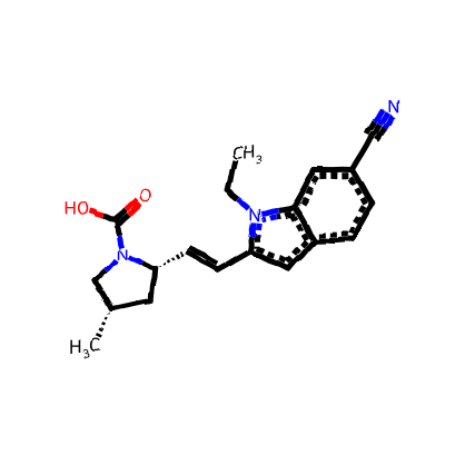 CCn1c(C=C[C@@H]2C[C@H](C)CN2C(=O)O)cc2ccc(C#N)cc21